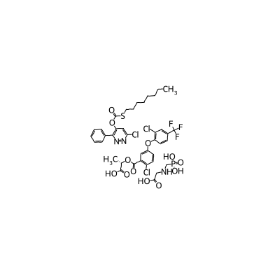 CCCCCCCCSC(=O)Oc1cc(Cl)nnc1-c1ccccc1.C[C@H](OC(=O)c1cc(Oc2ccc(C(F)(F)F)cc2Cl)ccc1Cl)C(=O)O.O=C(O)CNCP(=O)(O)O